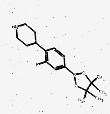 CC1(C)OB(c2ccc(C3CCNCC3)c(F)c2)OC1(C)C